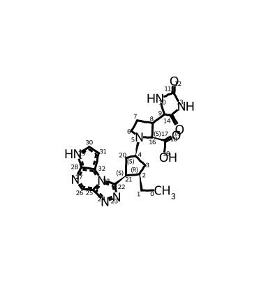 CC[C@@H]1C[C@H](N2CCC(C3NC(=O)NC3=O)[C@H]2C(=O)O)C[C@@H]1c1nnc2cnc3[nH]ccc3n12